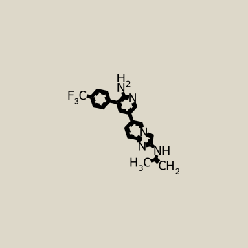 C=C(C)Nc1cn2cc(-c3cnc(N)c(-c4ccc(C(F)(F)F)cc4)c3)ccc2n1